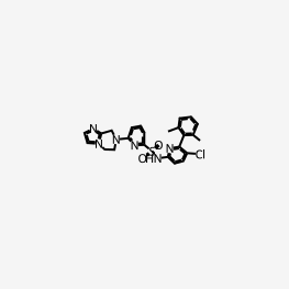 Cc1cccc(C)c1-c1nc(NS(=O)(=O)c2cccc(N3CCn4ccnc4C3)n2)ccc1Cl